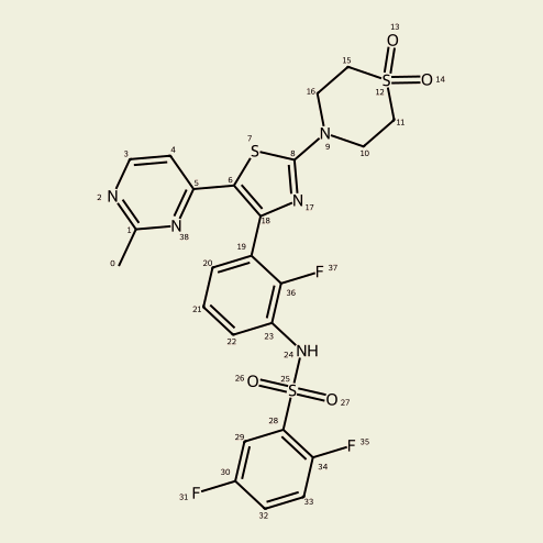 Cc1nccc(-c2sc(N3CCS(=O)(=O)CC3)nc2-c2cccc(NS(=O)(=O)c3cc(F)ccc3F)c2F)n1